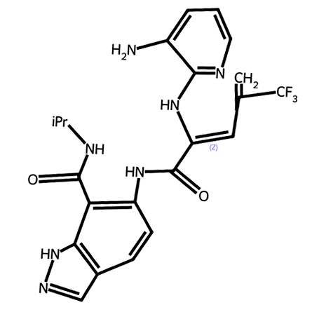 C=C(/C=C(\Nc1ncccc1N)C(=O)Nc1ccc2cn[nH]c2c1C(=O)NC(C)C)C(F)(F)F